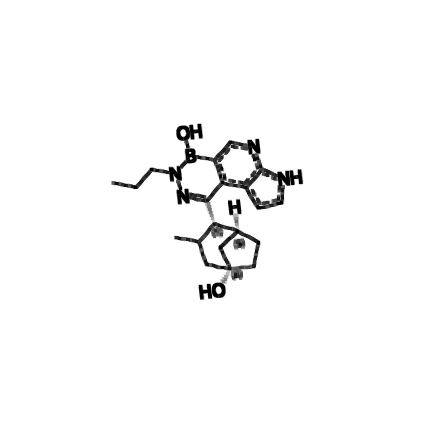 CCCN1N=C([C@H]2C(C)C[C@]3(O)CC[C@H]2C3)c2c(cnc3[nH]ccc23)B1O